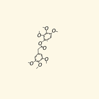 COc1cc(CC(=O)Oc2[c]cc(OC)c(OC)c2OC)cc(OC)c1OC